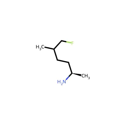 CC(CF)CC[C@@H](C)N